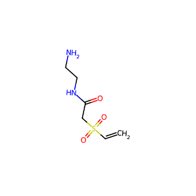 C=CS(=O)(=O)CC(=O)NCCN